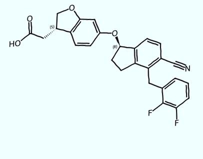 N#Cc1ccc2c(c1Cc1cccc(F)c1F)CC[C@H]2Oc1ccc2c(c1)OC[C@H]2CC(=O)O